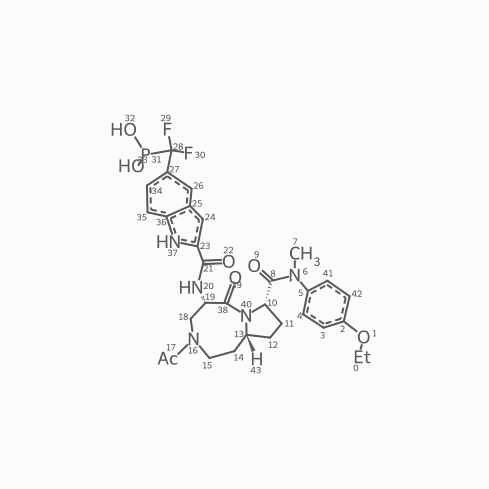 CCOc1ccc(N(C)C(=O)[C@@H]2CC[C@@H]3CCN(C(C)=O)C[C@H](NC(=O)c4cc5cc(C(F)(F)P(O)O)ccc5[nH]4)C(=O)N32)cc1